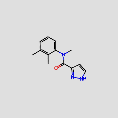 Cc1cccc(N(C)C(=O)c2cc[nH]n2)c1C